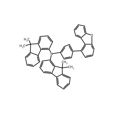 CC1(C)c2ccccc2-c2c(N(c3ccc(-c4cccc5oc6ccccc6c45)cc3)c3cccc4c3C(C)(C)c3ccccc3-4)cccc21